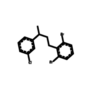 CC(CCc1c(Br)cccc1Br)c1cccc(Cl)c1